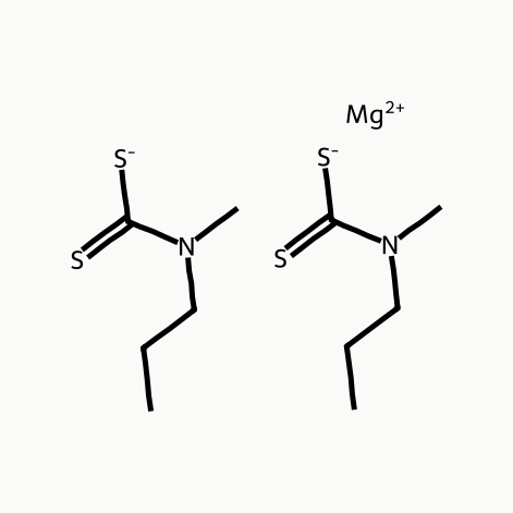 CCCN(C)C(=S)[S-].CCCN(C)C(=S)[S-].[Mg+2]